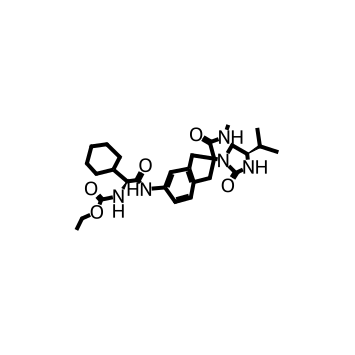 CCOC(=O)N[C@H](C(=O)Nc1ccc2c(c1)CC(C(=O)NC)(N1C[C@@H](C(C)C)NC1=O)C2)C1CCCCC1